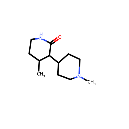 CC1CCNC(=O)C1C1CCN(C)CC1